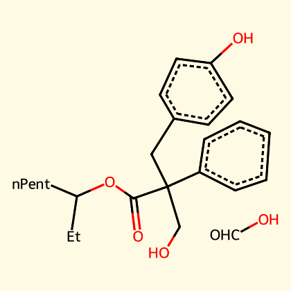 CCCCCC(CC)OC(=O)C(CO)(Cc1ccc(O)cc1)c1ccccc1.O=CO